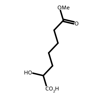 COC(=O)CCCCC(O)C(=O)O